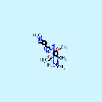 C=CC(=O)Nc1cc(Nc2cc(-c3ccc4c(cnn4CC)c3)ncn2)c(OCC)cc1N(C)CCN(C)C